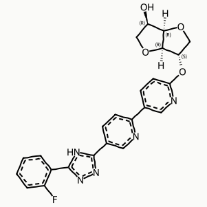 O[C@@H]1CO[C@H]2[C@@H]1OC[C@@H]2Oc1ccc(-c2ccc(-c3nnc(-c4ccccc4F)[nH]3)cn2)cn1